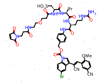 COc1ccc(C#N)cc1/C=C(\C#N)c1cn(C(=O)OCc2ccc(NC(=O)[C@H](CCCNC(N)=O)NC(=O)[C@@H](NC(=O)[C@H](CS(=O)(=O)O)NC(=O)CCOCCNC(=O)CCN3C(=O)C=CC3=O)C(C)C)cc2)c2ccc(Br)cc12